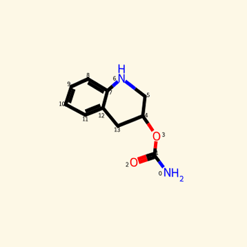 NC(=O)OC1CNc2ccccc2C1